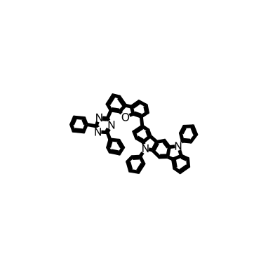 c1ccc(-c2nc(-c3ccccc3)nc(-c3cccc4c3oc3c(-c5ccc6c(c5)c5cc7c(cc5n6-c5ccccc5)c5ccccc5n7-c5ccccc5)cccc34)n2)cc1